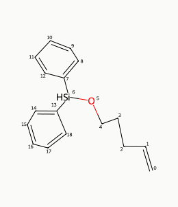 C=CCCCO[SiH](c1ccccc1)c1ccccc1